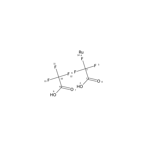 O=C(O)C(F)(F)F.O=C(O)C(F)(F)F.[Ru]